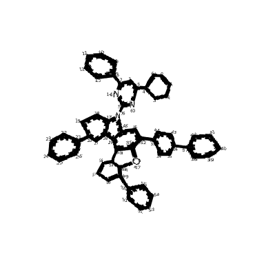 C1=CCCC(c2cc(-c3ccccc3)nc(-n3c4ccc(-c5ccccc5)cc4c4c5c(c(-c6ccc(-c7ccccc7)cc6)cc43)OC3C(c4ccccc4)=CC=CC53)n2)=C1